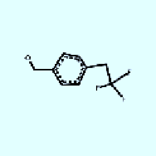 [O]Cc1ccc(CC(F)(F)F)cc1